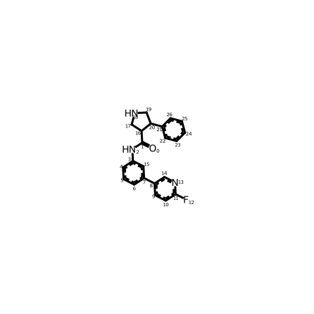 O=C(Nc1cccc(-c2ccc(F)nc2)c1)C1CNCC1c1ccccc1